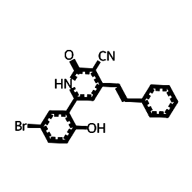 N#Cc1c(C=Cc2ccccc2)cc(-c2cc(Br)ccc2O)[nH]c1=O